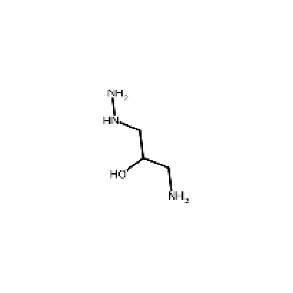 NCC(O)CNN